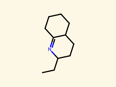 CCC1CCC2CCCCC2=N1